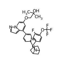 CC(C)(O)COc1cc(-c2ccc(N3CC4CC(C3)N4Cc3ccc(OC(F)(F)F)c(F)c3)nc2)c2ccnn2c1